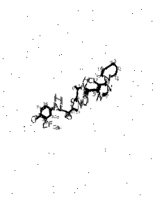 CC(NC(=O)c1ncnc(N2CCCCC2)c1Cl)c1ncc(C(=O)Nc2ccc(Cl)c(C(F)(F)F)c2)s1